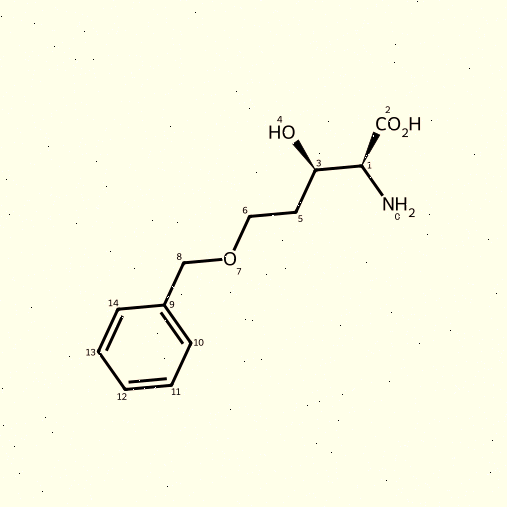 N[C@H](C(=O)O)[C@H](O)CCOCc1ccccc1